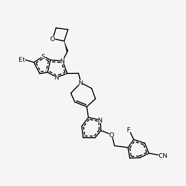 CCc1cc2nc(CN3CC=C(c4cccc(OCc5ccc(C#N)cc5F)n4)CC3)n(C[C@@H]3CCO3)c2s1